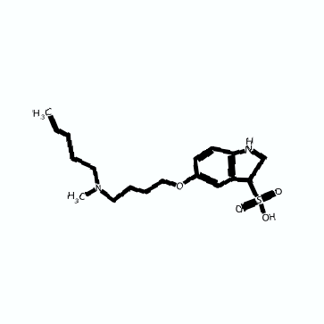 CCCCCN(C)CCCCOc1ccc2c(c1)C(S(=O)(=O)O)CN2